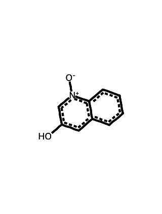 [O-][n+]1cc(O)cc2ccccc21